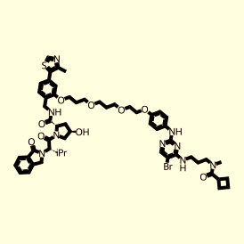 Cc1ncsc1-c1ccc(CNC(=O)[C@@H]2C[C@@H](O)CN2C(=O)[C@H](C(C)C)N2Cc3ccccc3C2=O)c(OCCCOCCCOCCOc2ccc(Nc3ncc(Br)c(NCCCN(C)C(=O)C4CCC4)n3)cc2)c1